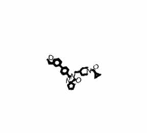 O=C(C1CC1)N1CCC(CN2C(=O)C3(CCCC3)N=C2c2ccc(-c3ccc4occc4c3)cc2)CC1